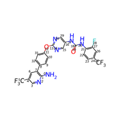 Nc1ncc(C(F)(F)F)cc1-c1ccc(Oc2ncc(NC(=O)Nc3ccc(C(F)(F)F)cc3F)cn2)cc1